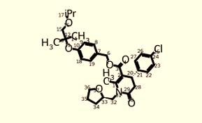 CC1=C(C(=O)OCc2ccc(OC(C)(C)COC(C)C)cc2)[C@H](c2ccc(Cl)cc2)CC(=O)N1C[C@H]1CCCO1